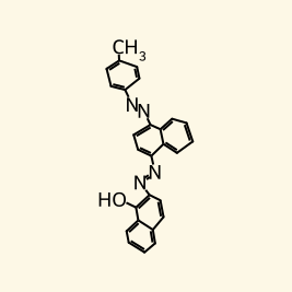 Cc1ccc(N=Nc2ccc(N=Nc3ccc4ccccc4c3O)c3ccccc23)cc1